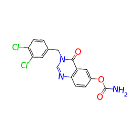 NC(=O)Oc1ccc2ncn(Cc3ccc(Cl)c(Cl)c3)c(=O)c2c1